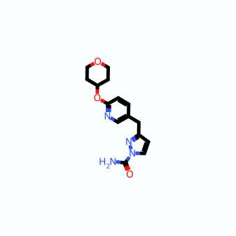 NC(=O)n1ccc(Cc2ccc(OC3CCOCC3)nc2)n1